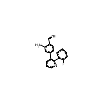 N=Cc1ccc(-c2cccnc2-c2ccccc2F)cc1N